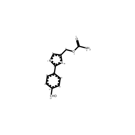 NC(=O)OCc1cnc(-c2ccc(C=O)cc2)s1